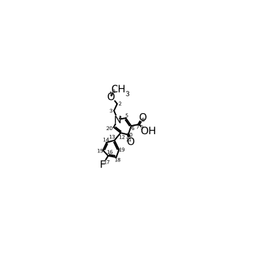 COCCn1cc(C(=O)O)c(=O)c(-c2ccc(F)cc2)c1